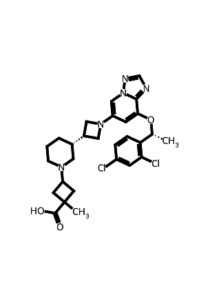 C[C@@H](Oc1cc(N2CC([C@H]3CCCN(C4CC(C)(C(=O)O)C4)C3)C2)cn2ncnc12)c1ccc(Cl)cc1Cl